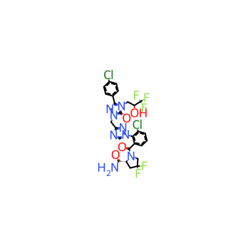 NC(=O)[C@H]1CC(F)(F)CN1C(=O)c1cccc(Cl)c1-n1cnc(Cn2nc(-c3ccc(Cl)cc3)n(C[C@H](O)C(F)(F)F)c2=O)n1